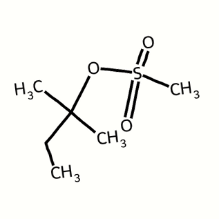 CCC(C)(C)OS(C)(=O)=O